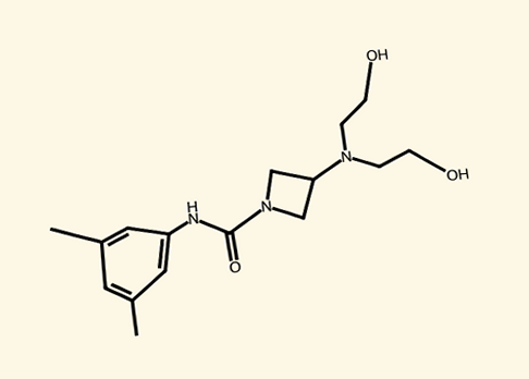 Cc1cc(C)cc(NC(=O)N2CC(N(CCO)CCO)C2)c1